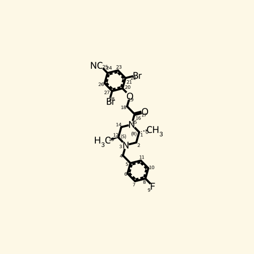 C[C@@H]1CN(Cc2ccc(F)cc2)[C@@H](C)CN1C(=O)COc1c(Br)cc(C#N)cc1Br